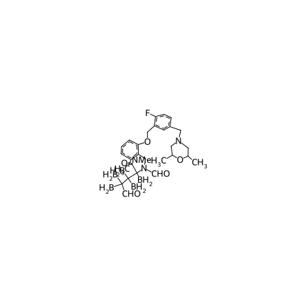 BC(B)(C=O)C(B)(B)C(B)(C(=O)NC)N(C=O)Cc1c(C)cccc1OCc1cc(CN2CC(C)OC(C)C2)ccc1F